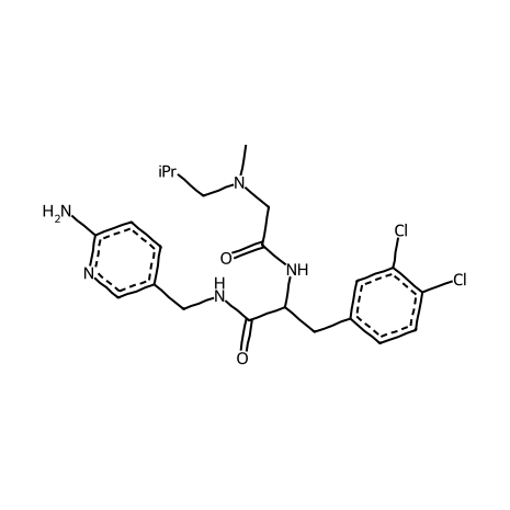 CC(C)CN(C)CC(=O)NC(Cc1ccc(Cl)c(Cl)c1)C(=O)NCc1ccc(N)nc1